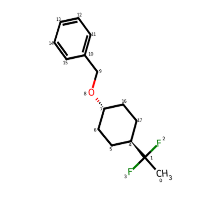 CC(F)(F)[C@H]1CC[C@H](OCc2ccccc2)CC1